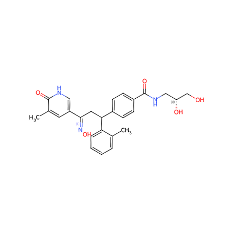 Cc1ccccc1C(C/C(=N\O)c1c[nH]c(=O)c(C)c1)c1ccc(C(=O)NC[C@@H](O)CO)cc1